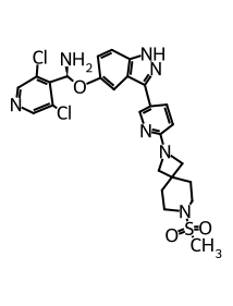 CS(=O)(=O)N1CCC2(CC1)CN(c1ccc(-c3n[nH]c4ccc(O[C@H](N)c5c(Cl)cncc5Cl)cc34)cn1)C2